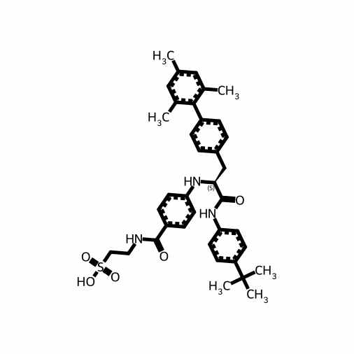 Cc1cc(C)c(-c2ccc(C[C@H](Nc3ccc(C(=O)NCCS(=O)(=O)O)cc3)C(=O)Nc3ccc(C(C)(C)C)cc3)cc2)c(C)c1